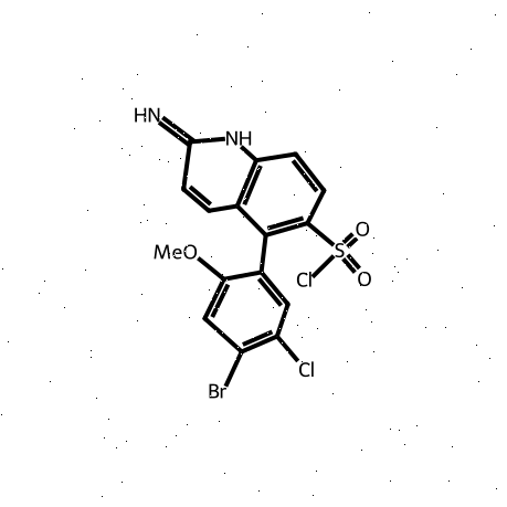 COc1cc(Br)c(Cl)cc1-c1c(S(=O)(=O)Cl)ccc2[nH]c(=N)ccc12